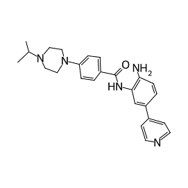 CC(C)N1CCN(c2ccc(C(=O)Nc3cc(-c4ccncc4)ccc3N)cc2)CC1